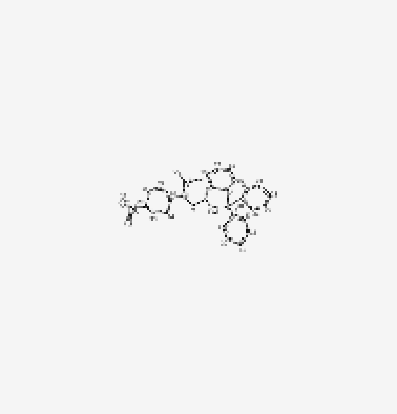 CN(C)C(CCOC(c1ccccc1)(c1ccccc1)c1ccccc1)c1ccc([N+](=O)[O-])cc1